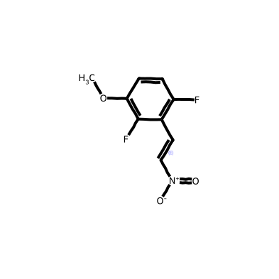 COc1ccc(F)c(/C=C/[N+](=O)[O-])c1F